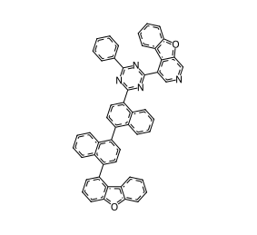 c1ccc(-c2nc(-c3ccc(-c4ccc(-c5cccc6oc7ccccc7c56)c5ccccc45)c4ccccc34)nc(-c3cncc4oc5ccccc5c34)n2)cc1